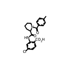 Cc1ccc(C(=O)N2CCCCC2C(=O)Nc2cc(Cl)ccc2C(=O)O)cc1